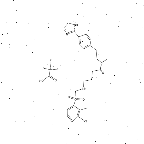 Cc1c(Cl)cccc1S(=O)(=O)CNCCCC(=O)N(C)CCc1ccc(C2=NCCN2)cc1.O=C(O)C(F)(F)F